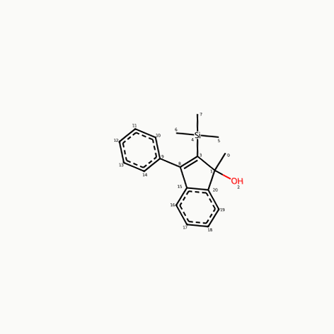 CC1(O)C([Si](C)(C)C)=C(c2ccccc2)c2ccccc21